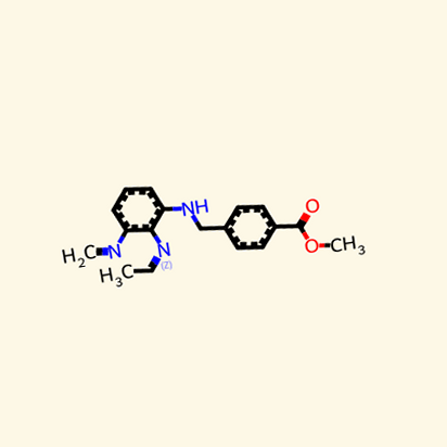 C=Nc1cccc(NCc2ccc(C(=O)OC)cc2)c1/N=C\C